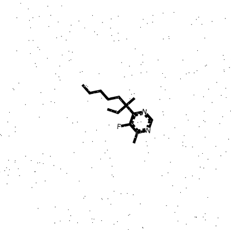 CCCCCC(C)(CC)c1ncnc(C)c1F